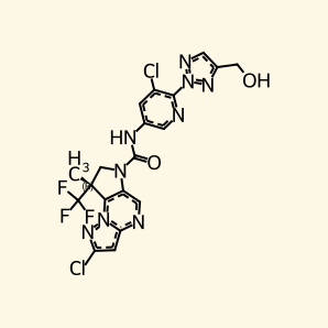 C[C@@]1(C(F)(F)F)CN(C(=O)Nc2cnc(-n3ncc(CO)n3)c(Cl)c2)c2cnc3cc(Cl)nn3c21